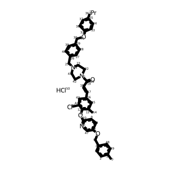 Cc1ccc(COc2ccc(Oc3c(C)cc(/C=C/C(=O)N4CCN(Cc5ccc(COc6ccc(C(C)C)cc6)cc5)CC4)cc3Cl)nc2)cc1.Cl